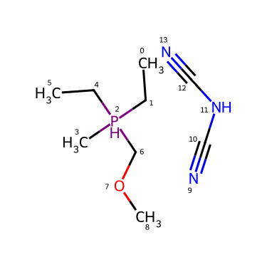 CC[PH](C)(CC)COC.N#CNC#N